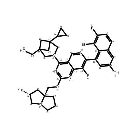 CCc1c(F)ccc2cc(O)cc(-c3ncc4c(N5CC6(CO)CC(C7CC7)(C5)C6)nc(OC[C@@]56CCCN5C[C@H](F)C6)nc4c3F)c12